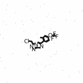 Cc1cc(OC(F)(F)F)ccc1-c1cn2c(CCl)nnc2cn1